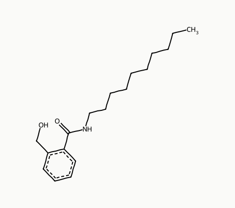 CCCCCCCCCCNC(=O)c1ccccc1CO